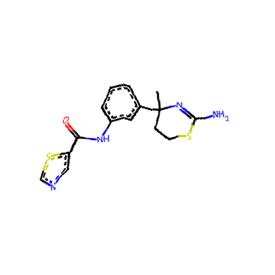 CC1(c2cccc(NC(=O)c3cncs3)c2)CCSC(N)=N1